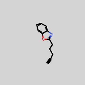 [C]#CCCCc1nc2ccccc2o1